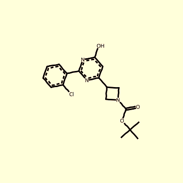 CC(C)(C)OC(=O)N1CC(c2cc(O)nc(-c3ccccc3Cl)n2)C1